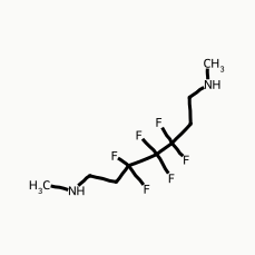 CNCCC(F)(F)C(F)(F)C(F)(F)CCNC